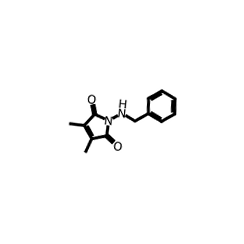 CC1=C(C)C(=O)N(NCc2ccccc2)C1=O